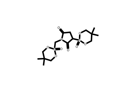 CC1(C)COP(=O)(CN2C(=O)CC(P3(=O)OCC(C)(C)CO3)C2=O)OC1